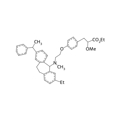 CCOC(=O)C(Cc1ccc(OCCN(C)C2c3ccc(C(C)c4ccccc4)cc3CCc3ccc(CC)cc32)cc1)OC